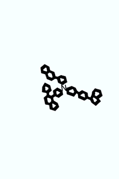 c1ccc(-c2ccc3ccccc3c2-c2ccc(N(c3ccc(-c4ccc(-c5cccc6ccccc56)cc4)cc3)c3cccc(-c4ccc5ccccc5c4)c3)cc2)cc1